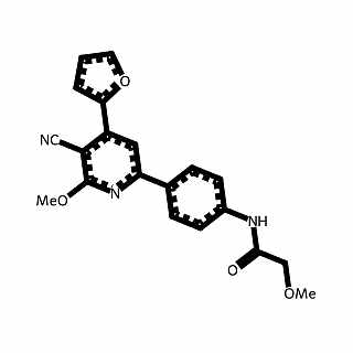 COCC(=O)Nc1ccc(-c2cc(-c3ccco3)c(C#N)c(OC)n2)cc1